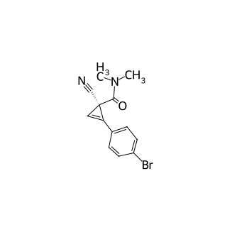 CN(C)C(=O)[C@]1(C#N)C=C1c1ccc(Br)cc1